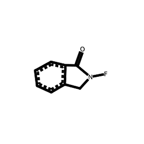 O=C1c2ccccc2CN1F